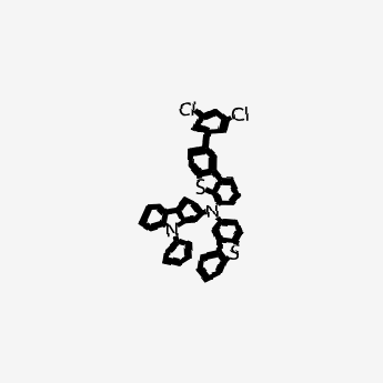 Clc1cc(Cl)cc(-c2ccc3sc4c(N(c5ccc6sc7ccccc7c6c5)c5ccc6c7ccccc7n(-c7ccccc7)c6c5)cccc4c3c2)c1